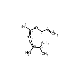 C=CCOC(=O)C(C)C.CC(C)C(=O)O